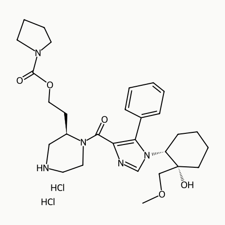 COC[C@]1(O)CCCC[C@H]1n1cnc(C(=O)N2CCNC[C@H]2CCOC(=O)N2CCCC2)c1-c1ccccc1.Cl.Cl